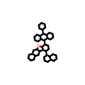 c1ccc(-c2c3ccccc3c(-c3ccc(-c4cccc5ccccc45)c4c3oc3cc5ccccc5cc34)c3ccccc23)cc1